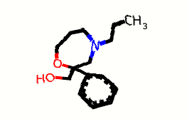 CCCN1CCCOC(CO)(c2ccccc2)C1